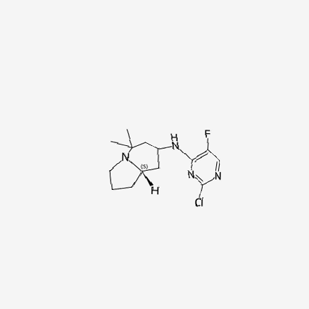 CC1(C)CC(Nc2nc(Cl)ncc2F)C[C@@H]2CCCN21